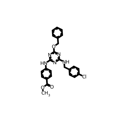 COC(=O)c1ccc(Nc2nc(NCc3ccc(Cl)cc3)nc(OCc3ccccc3)n2)cc1